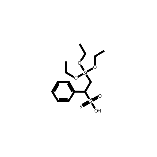 CCO[Si](CC(c1ccccc1)S(=O)(O)=S)(OCC)OCC